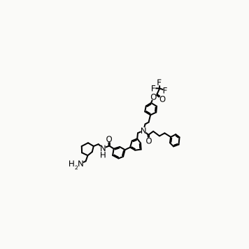 NCC1CCCC(CNC(=O)c2cccc(-c3cccc(CN(CCc4ccc(OC(=O)C(F)(F)F)cc4)C(=O)CCCc4ccccc4)c3)c2)C1